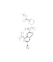 CC(C)Nc1nc(C#N)cc2cnc(NC(=O)[C@H]3CCCN(C(=O)OC(C)(C)C)C3)cc12